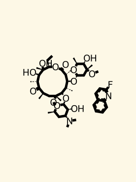 CC[C@H]1OC(=O)[C@H](C)[C@@H](O[C@H]2C[C@@](C)(OC)[C@@H](O)[C@H](C)O2)[C@H](C)[C@@H](O[C@@H]2O[C@H](C)C[C@H](N(C)C)[C@H]2O)[C@](C)(OC)C[C@@H](C)C(=O)[C@H](C)[C@@H](O)[C@]1(C)O.Fc1ccc2ccccc2n1